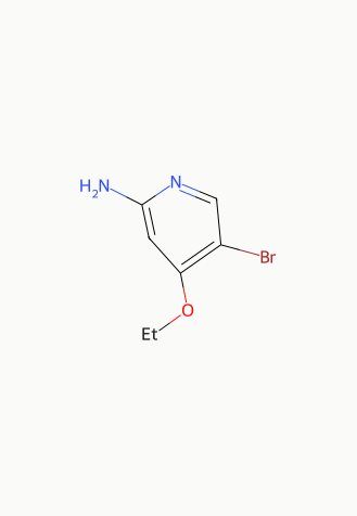 CCOc1cc(N)ncc1Br